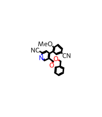 COc1ccc(C#N)cc1-c1cc(C#N)ncc1C(=O)OCc1ccccc1